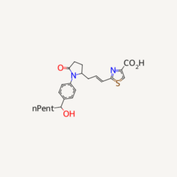 CCCCCC(O)c1ccc(N2C(=O)CCC2C/C=C/c2nc(C(=O)O)cs2)cc1